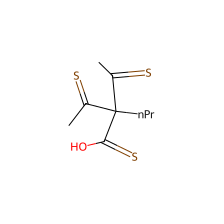 CCCC(C(C)=S)(C(C)=S)C(O)=S